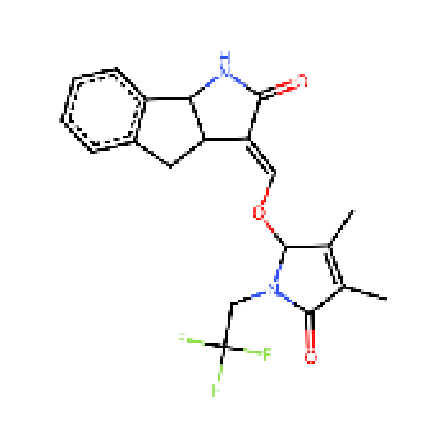 CC1=C(C)C(O/C=C2/C(=O)NC3c4ccccc4CC23)N(CC(F)(F)F)C1=O